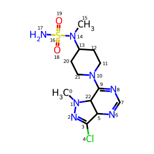 CN1N=C(Cl)C2N=CN=C(N3CCC(N(C)S(N)(=O)=O)CC3)C21